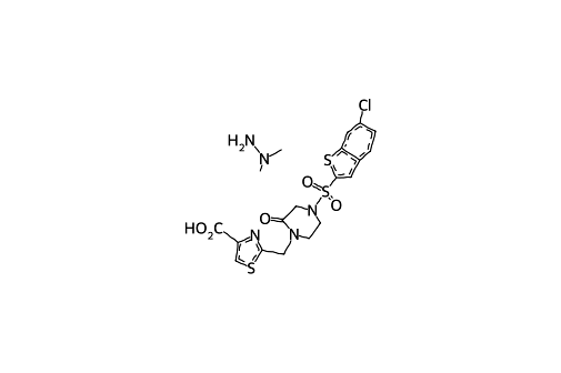 CN(C)N.O=C(O)c1csc(CN2CCN(S(=O)(=O)c3cc4ccc(Cl)cc4s3)CC2=O)n1